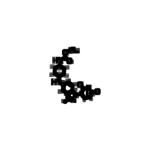 Cn1nc(C2CCC(=O)NC2=O)c2ccc(N[C@H]3CC[C@@H](NC(=O)OC(C)(C)C)CC3)cc21